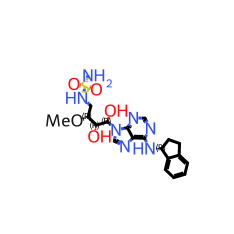 CO[C@H](CNS(N)(=O)=O)[C@@H](O)[C@@H](O)n1cnc2c(N[C@@H]3CCc4ccccc43)ncnc21